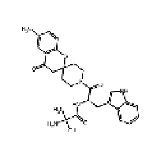 Cc1ccc2c(c1)C(=O)CC1(CCN(C(=O)[C@@H](Cc3c[nH]c4ccccc34)NC(=O)C(C)(C)N)CC1)O2